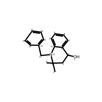 CC1(C)CC(O)c2ccccc2N1Cc1ccccc1